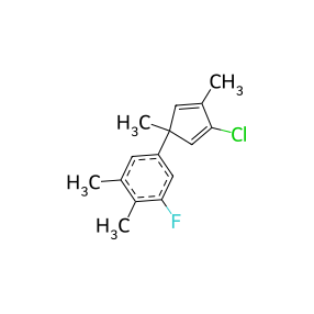 CC1=CC(C)(c2cc(C)c(C)c(F)c2)C=C1Cl